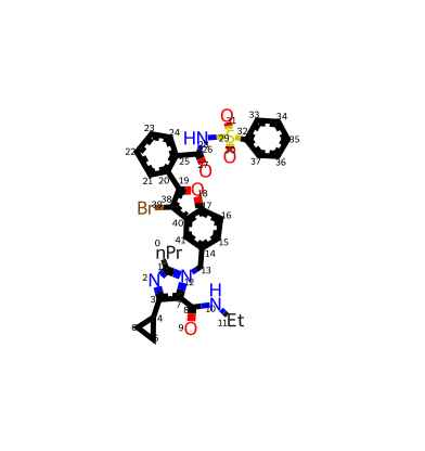 CCCc1nc(C2CC2)c(C(=O)NCC)n1Cc1ccc2oc(-c3ccccc3C(=O)NS(=O)(=O)c3ccccc3)c(Br)c2c1